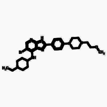 CCN1CCC(Nc2c(Br)cnc3[nH]c(-c4ccc(N5CCN(CCOC)CC5)cc4)nc23)CC1